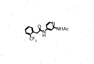 CC(=O)Nc1cc(NC(=O)Cc2ccccc2C(F)(F)F)ccn1